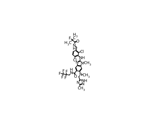 Cc1n[nH]c(CN(C)c2cc3c(cc2C(=O)NCC(F)(F)C(F)(F)F)nc(Nc2c(Cl)ccc(CNC(=O)C(C)(C)F)c2Cl)n3C)n1